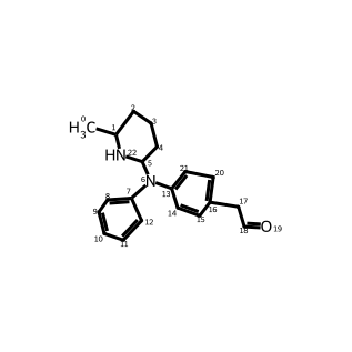 CC1CCCC(N(c2ccccc2)c2ccc(CC=O)cc2)N1